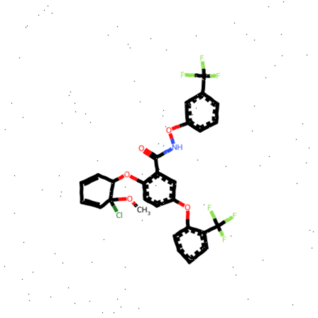 COC1(Cl)C=CC=CC1Oc1ccc(Oc2ccccc2C(F)(F)F)cc1C(=O)NOc1cccc(C(F)(F)F)c1